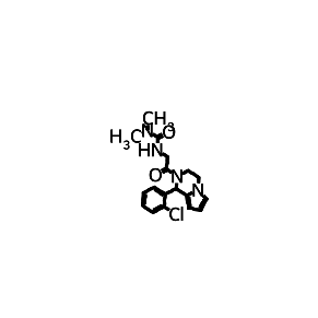 CN(C)C(=O)NCC(=O)N1CCn2cccc2C1c1ccccc1Cl